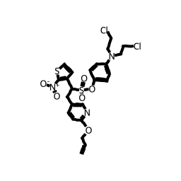 C=CCOc1ccc(CC(c2ccsc2[N+](=O)[O-])S(=O)(=O)Oc2ccc(N(CCCl)CCCl)cc2)cn1